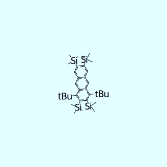 CC(C)(C)c1c([Si](C)(C)C)c([Si](C)(C)C)c(C(C)(C)C)c2cc3cc([Si](C)(C)C)c([Si](C)(C)C)cc3cc12